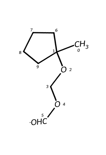 CC1(OCO[C]=O)CCCC1